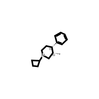 C[C@@H]1CN(C2CCC2)CC[C@@H]1c1ccccc1